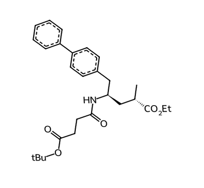 CCOC(=O)[C@@H](C)C[C@H](Cc1ccc(-c2ccccc2)cc1)NC(=O)CCC(=O)OC(C)(C)C